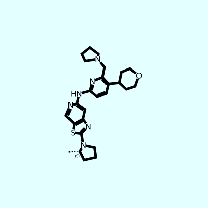 C[C@H]1CCCN1c1nc2cc(Nc3ccc(C4CCOCC4)c(CN4CCCC4)n3)ncc2s1